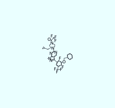 Cn1nc(-c2cc(C(F)(F)F)c(F)c(OCc3ccccc3)c2F)c2cnc(N3CCN(C(=O)C(F)(F)F)C[C@@H]3CC3CC3)nc21